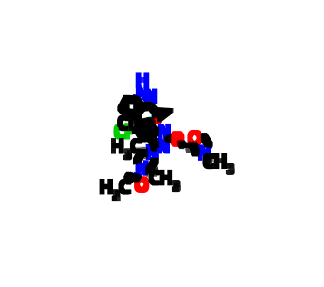 C=CC(=O)N1C[C@H](C)N(c2nc(OC[C@@H]3CN(C)CCO3)nc3c(F)c(-c4c(C)ccc5[nH]nc(C6CC6)c45)c(Cl)cc23)C[C@H]1C